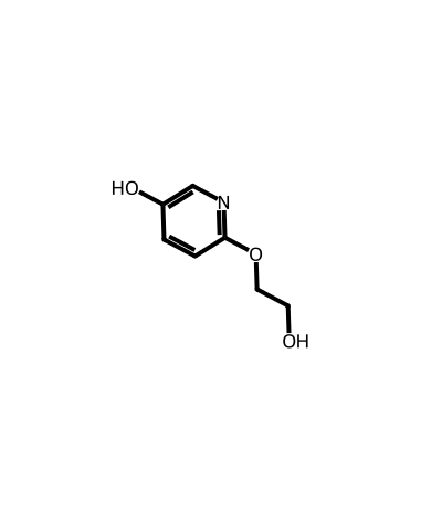 OCCOc1ccc(O)cn1